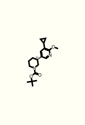 COc1ncc([C@@H]2CCCN(C(=O)OC(C)(C)C)C2)cc1C1CC1